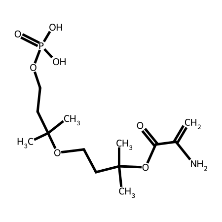 C=C(N)C(=O)OC(C)(C)CCOC(C)(C)CCOP(=O)(O)O